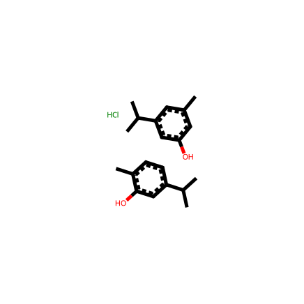 Cc1cc(O)cc(C(C)C)c1.Cc1ccc(C(C)C)cc1O.Cl